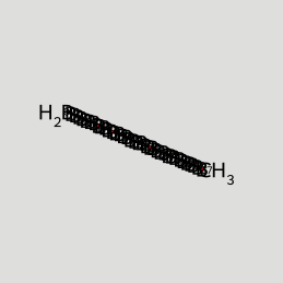 BB=BB=BB=BB=BB=BB=BB=BB=BB=BB=BB=BB=BB=BB=BB=BB=BB=BB=BC